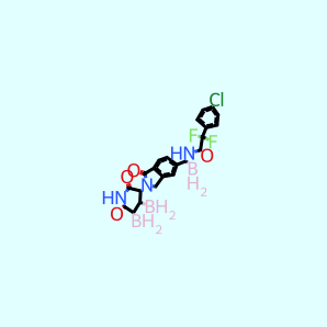 BC(NC(=O)C(F)(F)c1ccc(Cl)cc1)c1ccc2c(c1)CN(C1C(=O)NC(=O)C(B)C1B)C2=O